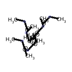 CCCCCCCCC/C=C\CCCCCCCC(=O)OC(C/C=C\CCCCCCCCOC(=O)CCN(C)CCN(CCN(C)CCC(=O)OCCCCCCCC/C=C\CC(CCCCCC)OC(=O)CCCCCCC/C=C\CCCCCCCCC)CCN(C)CCC(=O)OCCCCCCCC/C=C\CC(CCCCCC)OC(=O)CCCCCCC/C=C\CCCCCCCCC)CCCCCC